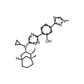 Cn1cnc(-c2ccc(-c3ncc(N(C4CC4)[C@@H]4C[C@H]5CCC[C@](C)(C5)[C@@H]4F)nn3)c(O)c2)n1